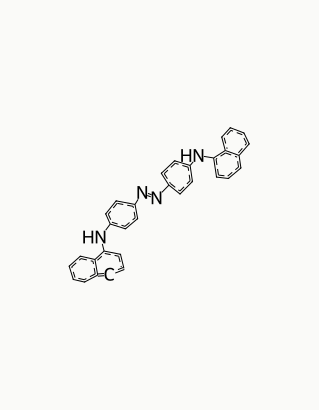 c1ccc2c(Nc3ccc(N=Nc4ccc(Nc5cccc6ccccc56)cc4)cc3)cccc2c1